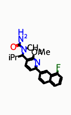 COc1nc(-c2ccc3cccc(F)c3c2)ccc1C(C(C)C)N(C)C(N)=O